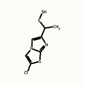 CC(SS)c1cn2cc(Cl)sc2n1